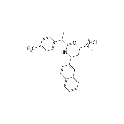 CC(C(=O)NC(CCN(C)C)c1ccc2ccccc2c1)c1ccc(C(F)(F)F)cc1.Cl